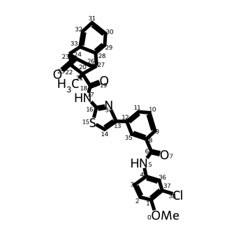 COc1ccc(NC(=O)c2cccc(-c3csc(NC(=O)C4(C)CC5C(=O)CC4c4ccccc45)n3)c2)cc1Cl